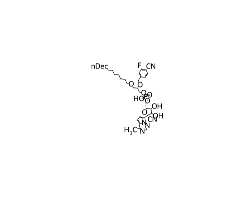 CCCCCCCCCCCCCCCCCOC[C@H](COP(=O)(O)OC[C@H]1O[C@@](C#N)(c2ccc3c(C)ncnn23)[C@H](O)[C@@H]1O)OCc1ccc(C#N)c(F)c1